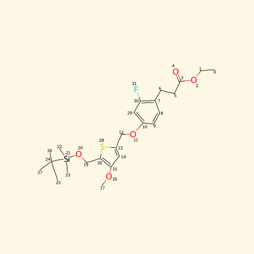 CCOC(=O)CCc1ccc(OCc2cc(OC)c(CO[Si](C)(C)C(C)(C)C)s2)cc1F